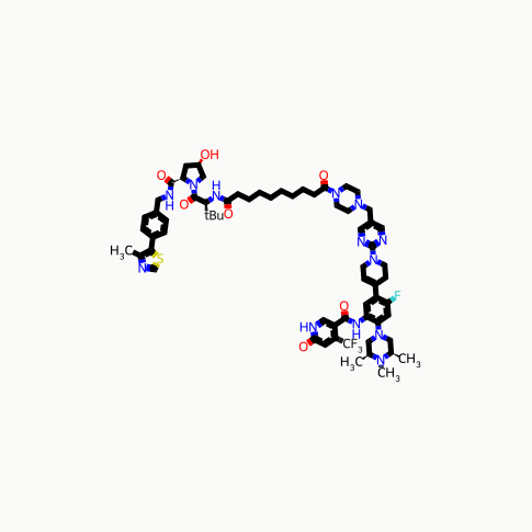 Cc1ncsc1-c1ccc(CNC(=O)[C@@H]2C[C@@H](O)CN2C(=O)[C@@H](NC(=O)CCCCCCCCC(=O)N2CCN(Cc3cnc(N4CC=C(c5cc(NC(=O)c6c[nH]c(=O)cc6C(F)(F)F)c(N6C[C@@H](C)N(C)[C@@H](C)C6)cc5F)CC4)nc3)CC2)C(C)(C)C)cc1